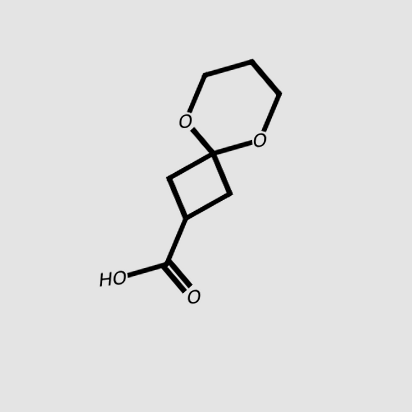 O=C(O)C1CC2(C1)OCCCO2